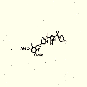 COc1cc(OC)c(F)c(COc2cnc(Nc3cc(C(=O)N4CCN(C)CC4)n[nH]3)nc2)c1F